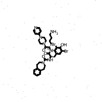 NCCCC[C@H](NC(=O)[C@@H](Cc1cc(Br)c(O)c(Br)c1)NC(=O)N1CCc2ccccc2CC1)C(=O)N1CCN(c2ccncc2)CC1